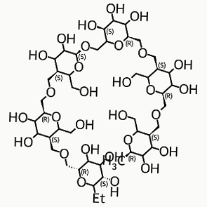 CCC1O[C@H](COC[C@@H]2C(CO)O[C@H](COC[C@@H]3C(CO)O[C@H](OCC4O[C@H](COC[C@@H]5C(CO)O[C@H](COC[C@@H]6C(CO)O[C@H](C)C(O)C6O)C(O)C5O)C(O)C(O)[C@@H]4O)C(O)C3O)C(O)C2O)C(O)C(O)[C@@H]1O